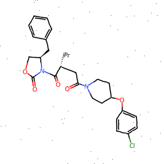 CC(C)[C@H](CC(=O)N1CCC(Oc2ccc(Cl)cc2)CC1)C(=O)N1C(=O)OC[C@H]1Cc1ccccc1